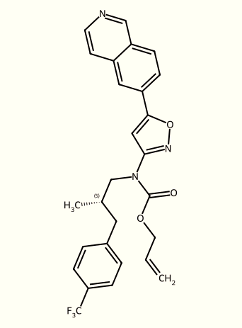 C=CCOC(=O)N(C[C@@H](C)Cc1ccc(C(F)(F)F)cc1)c1cc(-c2ccc3cnccc3c2)on1